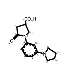 O=C(O)C1CC(=O)N(c2cccc(N3CCCC3)c2)C1